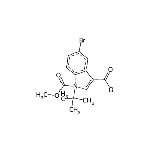 COC(=O)[N+]1(C(C)(C)C)C=C(C(=O)[O-])c2cc(Br)ccc21